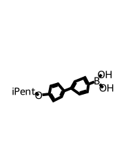 CCCC(C)Oc1ccc(-c2ccc(B(O)O)cc2)cc1